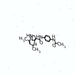 CC(=O)Nc1ccc(NC(=O)C2=C3N=C(C)C=C(C)N3NC2)cc1